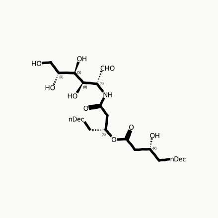 CCCCCCCCCCC[C@@H](O)CC(=O)O[C@H](CCCCCCCCCCC)CC(=O)N[C@@H](C=O)[C@@H](O)[C@H](O)[C@H](O)CO